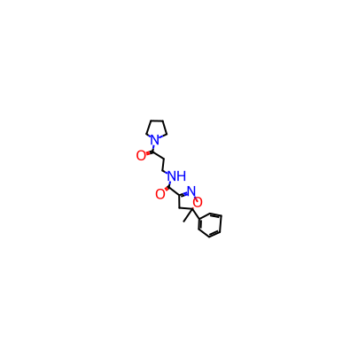 CC1(c2ccccc2)CC(C(=O)NCCC(=O)N2CCCC2)=NO1